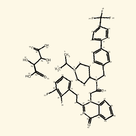 CC(C)N1CCC(N(Cc2ccc(-c3ccc(C(F)(F)F)cc3)cc2)C(=O)Cn2c(CCc3cccc(F)c3F)nc(=O)c3ccccc32)CC1.O=C(O)C(O)C(O)C(=O)O